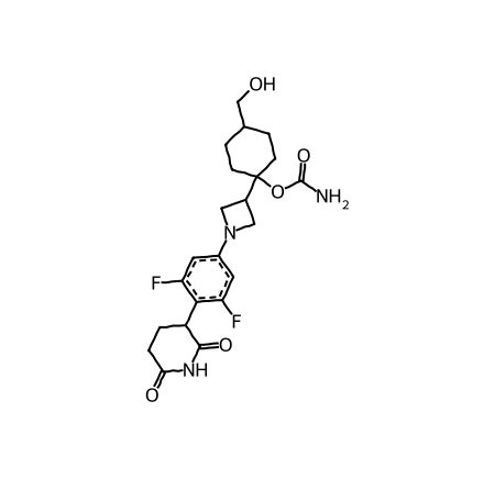 NC(=O)OC1(C2CN(c3cc(F)c(C4CCC(=O)NC4=O)c(F)c3)C2)CCC(CO)CC1